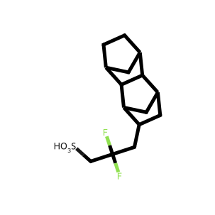 O=S(=O)(O)CC(F)(F)CC1CC2CC1C1C3CCC(C3)C21